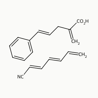 C=C(CC=Cc1ccccc1)C(=O)O.C=CC=CC=CC#N